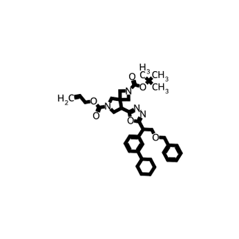 C=CCOC(=O)N1CC(c2nnc(C(COCc3ccccc3)c3cccc(C4CCCCC4)c3)o2)C2(C1)CN(C(=O)OC(C)(C)C)C2